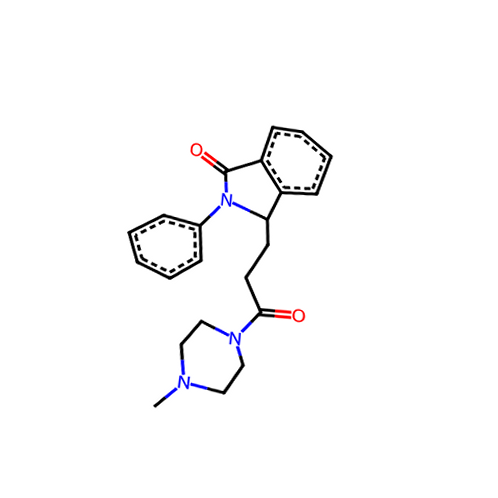 CN1CCN(C(=O)CCC2c3ccccc3C(=O)N2c2ccccc2)CC1